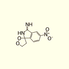 N=C1NC2(CCOO2)c2ccc([N+](=O)[O-])cc21